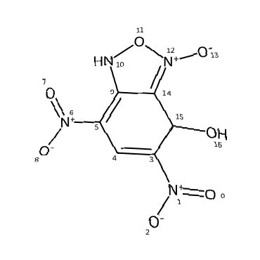 O=[N+]([O-])C1=CC([N+](=O)[O-])=C2NO[N+]([O-])=C2C1O